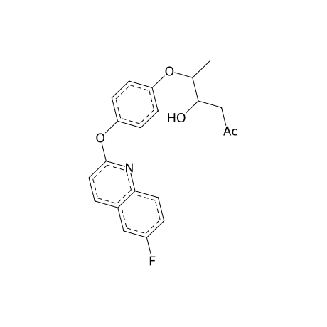 CC(=O)CC(O)C(C)Oc1ccc(Oc2ccc3cc(F)ccc3n2)cc1